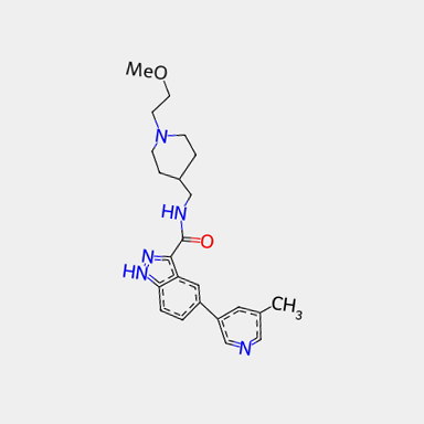 COCCN1CCC(CNC(=O)c2n[nH]c3ccc(-c4cncc(C)c4)cc23)CC1